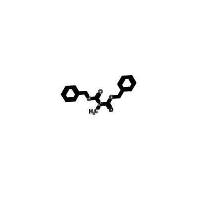 CN(C(=O)OCc1ccccc1)C(=O)OCc1ccccc1